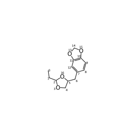 CCC1OCC(Cc2ccc3c(c2)OCO3)O1